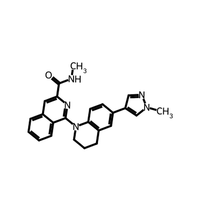 CNC(=O)c1cc2ccccc2c(N2CCCc3cc(-c4cnn(C)c4)ccc32)n1